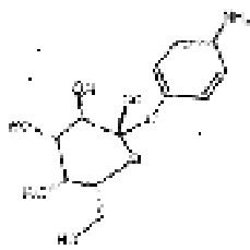 Nc1ccc(O[C@]2(O)O[C@H](CO)[C@H](O)[C@H](O)[C@H]2O)cc1